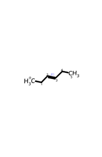 CC/C=C/CC